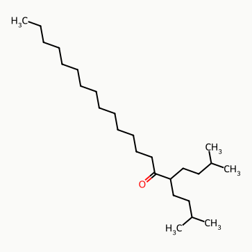 CCCCCCCCCCCCCCC(=O)C(CCC(C)C)CCC(C)C